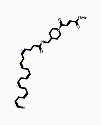 CC/C=C\C/C=C\C/C=C\C/C=C\C/C=C\C/C=C\CCC(=O)NCC1CCN(C(=O)C=CC(=O)OC)CC1